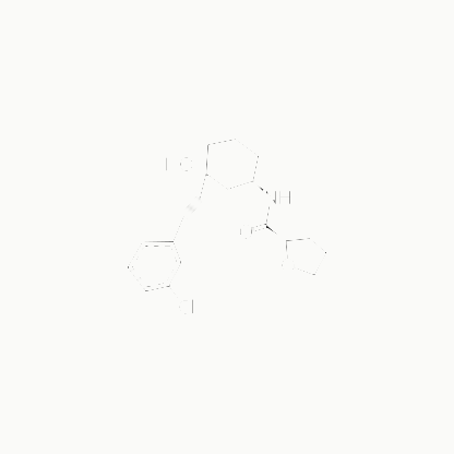 O=C(N[C@@H]1CCC[C@](O)(C#Cc2cccc(Cl)c2)C1)[C@H]1CCCO1